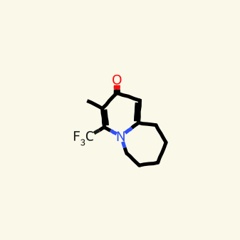 Cc1c(C(F)(F)F)n2c(cc1=O)CCCCC2